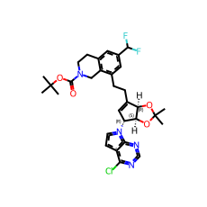 CC(C)(C)OC(=O)N1CCc2cc(C(F)F)cc(CCC3=C[C@@H](n4ccc5c(Cl)ncnc54)[C@@H]4OC(C)(C)O[C@H]34)c2C1